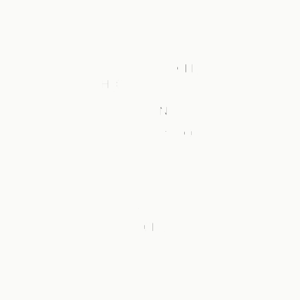 CCCCCCC(=O)N(CCC)CCC